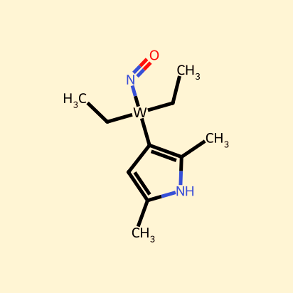 C[CH2][W]([CH2]C)([N]=O)[c]1cc(C)[nH]c1C